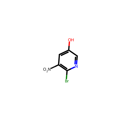 O=[N+]([O-])c1cc(O)cnc1Br